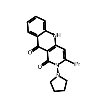 CC(C)c1cc2[nH]c3ccccc3c(=O)c2c(=O)n1N1CCCC1